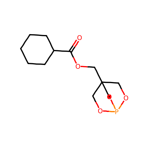 O=C(OCC12COP(OC1)OC2)C1CCCCC1